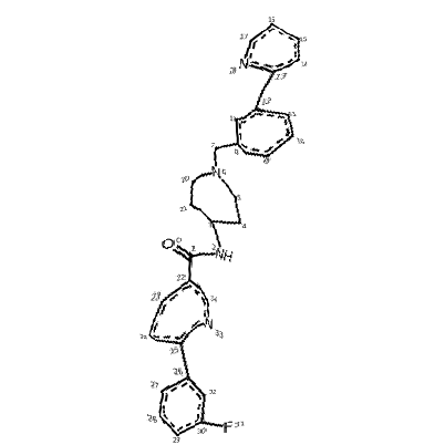 O=C(NC1CCN(Cc2cccc(-c3ccccn3)c2)CC1)c1ccc(-c2cccc(F)c2)nc1